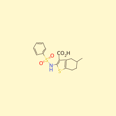 CC1CCc2sc(NS(=O)(=O)c3ccccc3)c(C(=O)O)c2C1